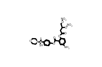 Nc1ccc(OC(=O)CC(CO[N+](=O)[O-])O[N+](=O)[O-])c(C(=O)Oc2ccc(P(=S)(S)N3CCOCC3)cc2)c1